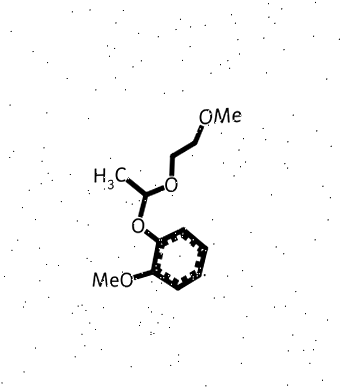 COCCOC(C)Oc1cc[c]cc1OC